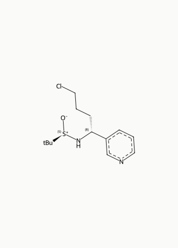 CC(C)(C)[S@@+]([O-])N[C@H](CCCCl)c1cccnc1